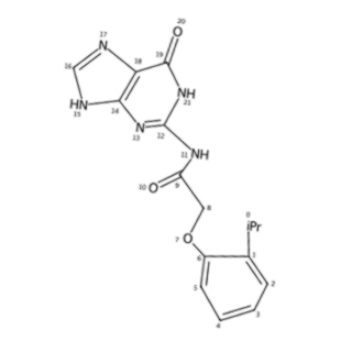 CC(C)c1ccccc1OCC(=O)Nc1nc2[nH]cnc2c(=O)[nH]1